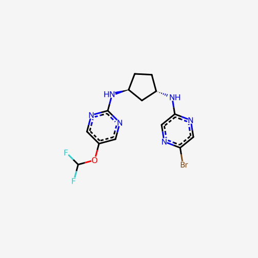 FC(F)Oc1cnc(N[C@H]2CC[C@H](Nc3cnc(Br)cn3)C2)nc1